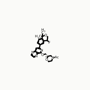 CC(=O)N1CCO[C@H](COc2nc(-c3ccc4c(c3)C(F)COC4(C)C)cc3nccnc23)C1